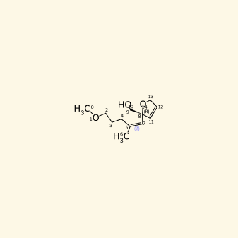 COCCC/C(C)=C\[C@@]1(CO)C=CCO1